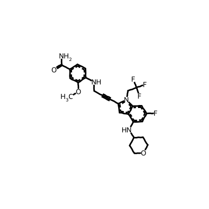 COc1cc(C(N)=O)ccc1NCC#Cc1cc2c(NC3CCOCC3)cc(F)cc2n1CC(F)(F)F